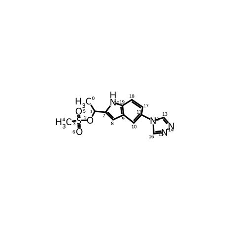 CC(OS(C)(=O)=O)c1cc2cc(-n3cnnc3)ccc2[nH]1